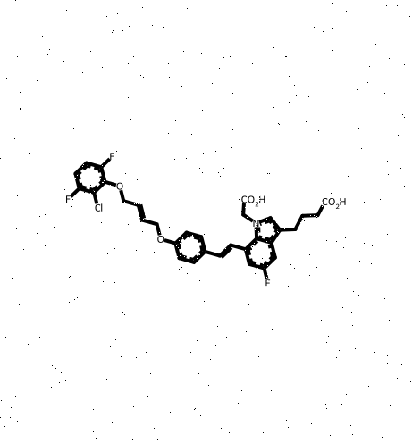 O=C(O)CCCc1cn(CC(=O)O)c2c(C=Cc3ccc(OC/C=C/COc4c(F)ccc(F)c4Cl)cc3)cc(F)cc12